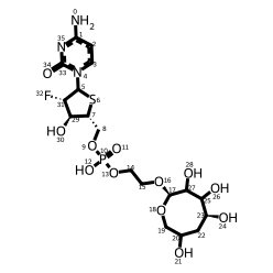 Nc1ccn(C2S[C@H](COP(=O)(O)OCCO[C@@H]3OCC(O)C[C@H](O)C(O)C3O)[C@@H](O)[C@@H]2F)c(=O)n1